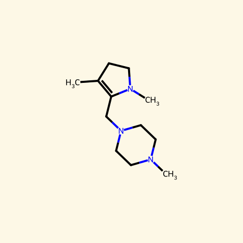 CC1=C(CN2CCN(C)CC2)N(C)CC1